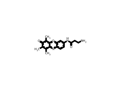 Cc1c2nc3ccc(NC(=O)CCN)cc3oc-2c(C)c(=O)c1C